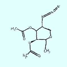 CC(=O)OC1C(N=[N+]=[N-])COC(C)[C@H]1OC(C)=O